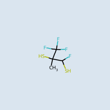 CC(S)(C(F)S)C(F)(F)F